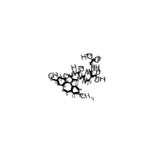 CCc1ccc2c(c1)C=Cc1cc(C)ccc1C2c1cn(-c2ncc(C(=O)O)c(NCC(=O)O)n2)c(=O)[nH]c1=O